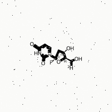 [2H]C(O)[C@H]1O[C@@](F)(n2ccc(=O)[nH]c2=O)C[C@@H]1O